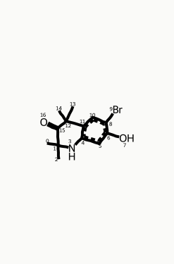 CC1(C)Nc2cc(O)c(Br)cc2C(C)(C)C1=O